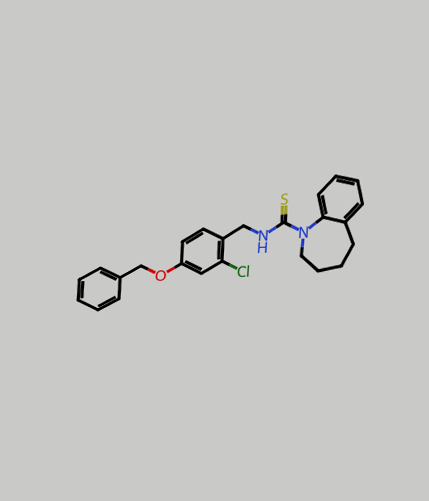 S=C(NCc1ccc(OCc2ccccc2)cc1Cl)N1CCCCc2ccccc21